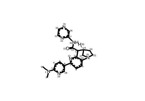 CN(C)c1ccc(-c2ccc3c(n2)C(C(=O)Nc2cnccn2)[C@H]2CCN3C2)cn1